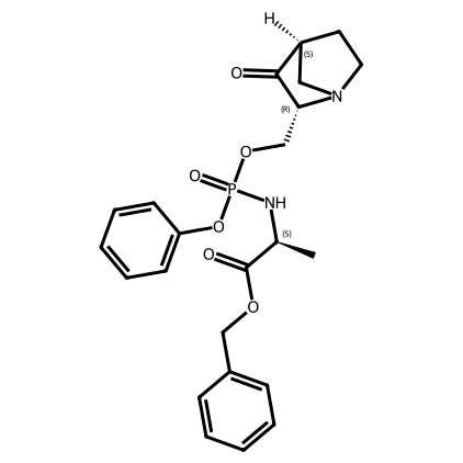 C[C@H](NP(=O)(OC[C@@H]1C(=O)[C@H]2CCN1C2)Oc1ccccc1)C(=O)OCc1ccccc1